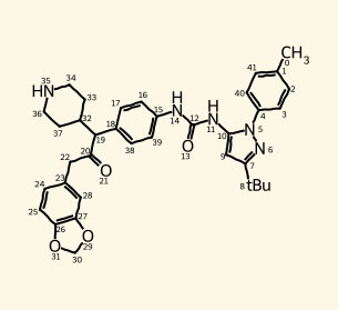 Cc1ccc(-n2nc(C(C)(C)C)cc2NC(=O)Nc2ccc(C(C(=O)Cc3ccc4c(c3)OCO4)C3CCNCC3)cc2)cc1